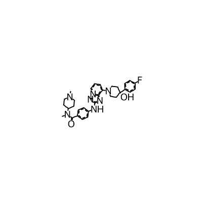 CN1CCC(N(C)C(=O)c2ccc(Nc3nc4c(N5CCC(O)(c6ccc(F)cc6)CC5)cccn4n3)cc2)CC1